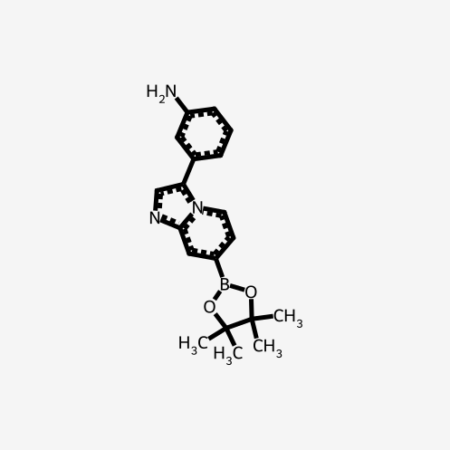 CC1(C)OB(c2ccn3c(-c4cccc(N)c4)cnc3c2)OC1(C)C